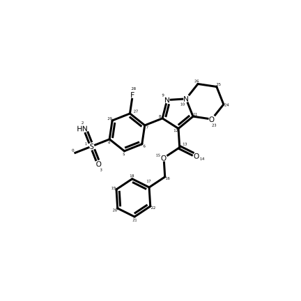 CS(=N)(=O)c1ccc(-c2nn3c(c2C(=O)OCc2ccccc2)OCCC3)c(F)c1